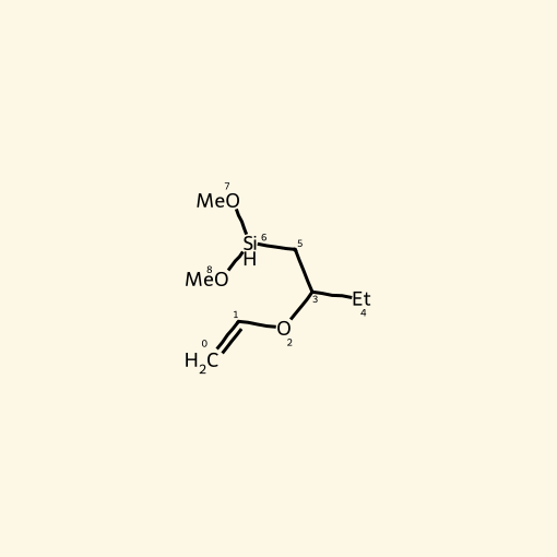 C=COC(CC)C[SiH](OC)OC